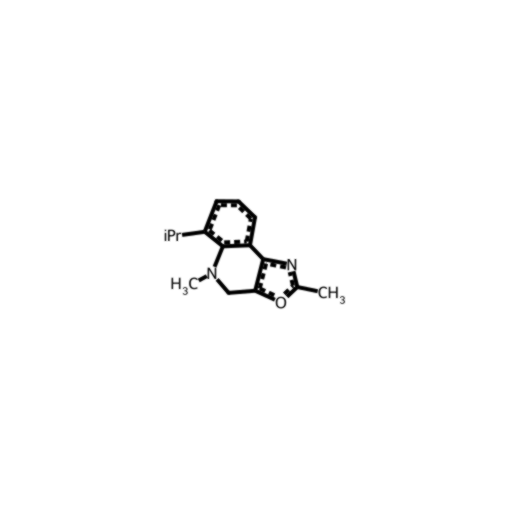 Cc1nc2c(o1)CN(C)c1c-2cccc1C(C)C